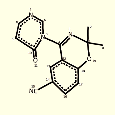 CC1(C)N=C(n2cnccc2=O)c2cc(C#N)ccc2O1